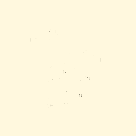 COC(=O)c1c(N)c2ncc(C(F)(F)F)cc2n(-c2ccc(C(C)O)cc2)c1=O